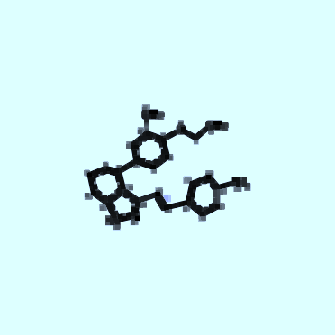 COCOc1ccc(-c2cccc3[nH]nc(/C=C/c4ccc(N)cc4)c23)cc1OC